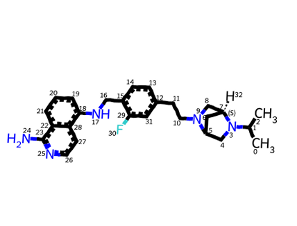 CC(C)N1CC2C[C@H]1CN2CCc1ccc(CNc2cccc3c(N)nccc23)c(F)c1